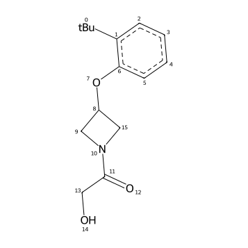 CC(C)(C)c1ccccc1OC1CN(C(=O)CO)C1